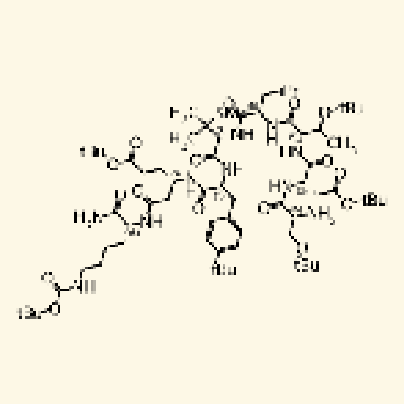 CSC(C)(C)[C@H](NC(=O)[C@@H](CC(C)C)NC(=O)[C@@H](NC(=O)[C@H](CC(=O)OC(C)(C)C)NC(=O)[C@@H](N)COC(C)(C)C)C(C)OC(C)(C)C)C(=O)N[C@@H](Cc1ccc(C(C)(C)C)cc1)C(=O)N[C@@H](CCC(=O)OC(C)(C)C)CC(=O)N[C@H](CCCCNC(=O)OC(C)(C)C)C(N)=O